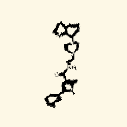 Cc1c(C(=O)NCCN2CCN(c3cccc4cccnc34)CC2)cc(-c2ccccc2)n1C